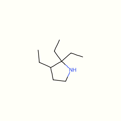 CCC1CCNC1(CC)CC